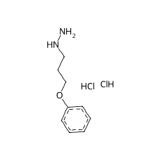 Cl.Cl.NNCCCOc1ccccc1